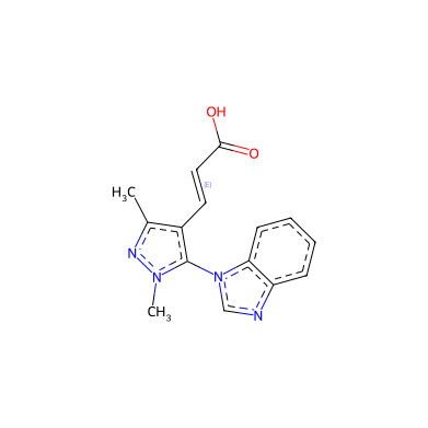 Cc1nn(C)c(-n2cnc3ccccc32)c1/C=C/C(=O)O